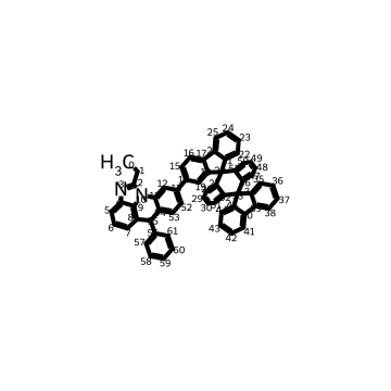 CCc1nc2cccc3c2n1-c1cc(-c2ccc4c(c2)C2(c5ccccc5-4)c4ccccc4C4(c5ccccc5-c5ccccc54)c4ccccc42)ccc1C3c1ccccc1